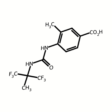 Cc1cc(C(=O)O)ccc1NC(=O)NC(C)(C(F)(F)F)C(F)(F)F